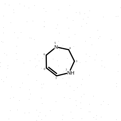 C1=CNCC[N]C1